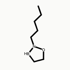 CCCCCN1BCCO1